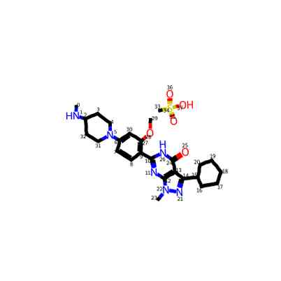 CNC1CCN(c2ccc(-c3nc4c(c(C5CCCCC5)nn4C)c(=O)[nH]3)c(OC)c2)CC1.CS(=O)(=O)O